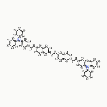 C(=C\c1ccc2cc(/C=C/c3ccc4cc(/C=C/c5ccc(N(c6ccccc6)c6ccccc6)cc5)ccc4c3)ccc2c1)/c1ccc(N(c2ccccc2)c2ccccc2)cc1